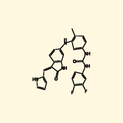 Cc1ccc(NC(=O)Nc2ccc(F)c(F)c2)cc1Nc1ccc2c(c1)NC(=O)C2=Cc1ccc[nH]1